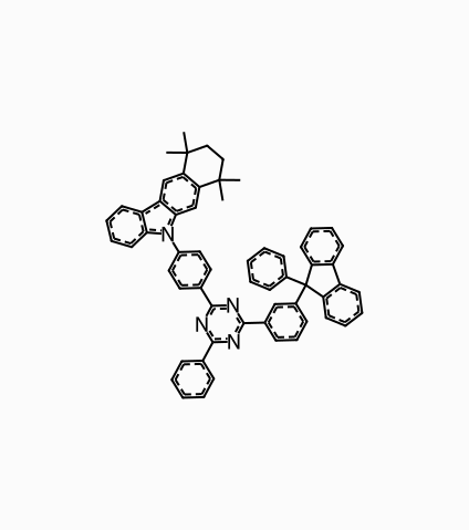 CC1(C)CCC(C)(C)c2cc3c(cc21)c1ccccc1n3-c1ccc(-c2nc(-c3ccccc3)nc(-c3cccc(C4(c5ccccc5)c5ccccc5-c5ccccc54)c3)n2)cc1